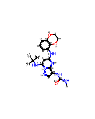 [2H]C([2H])([2H])Nc1cc(Nc2cccc3c2OCCO3)nc2c(NC(=O)NC)cnn12